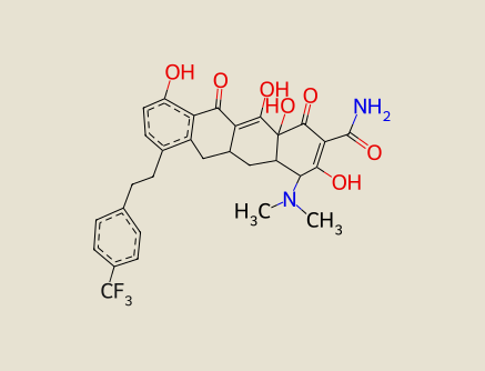 CN(C)C1C(O)=C(C(N)=O)C(=O)C2(O)C(O)=C3C(=O)c4c(O)ccc(CCc5ccc(C(F)(F)F)cc5)c4CC3CC12